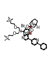 CC(C)(C)OC(=O)N1C2CC[C@@H]1CC(c1nc3c(-c4ccc(-c5ccccc5)nc4)cnn3c(N(COCC[Si](C)(C)C)COCC[Si](C)(C)C)c1Br)C2